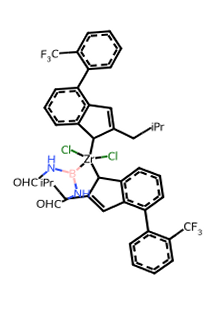 CC(C)CC1=Cc2c(-c3ccccc3C(F)(F)F)cccc2[CH]1[Zr]([Cl])([Cl])([B](NC=O)NC=O)[CH]1C(CC(C)C)=Cc2c(-c3ccccc3C(F)(F)F)cccc21